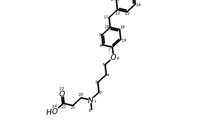 CN(CCCCOc1ccc(Cc2ccccc2)cc1)CCC(=O)O